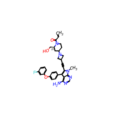 C=CC(=O)N1CCC(N2CC(C#Cc3c(-c4ccc(Oc5cccc(F)c5)cc4)c4c(N)ncnc4n3C)C2)C[C@H]1CO